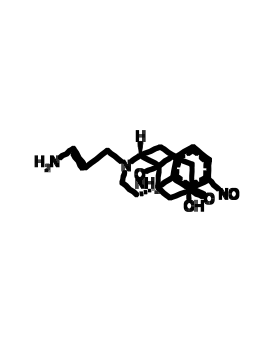 NC=CCN1CC[C@]23CC(=O)CCC2(ON)[C@H]1Cc1ccc(N=O)c(O)c13